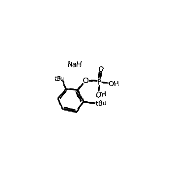 CC(C)(C)c1cccc(C(C)(C)C)c1OP(=O)(O)O.[NaH]